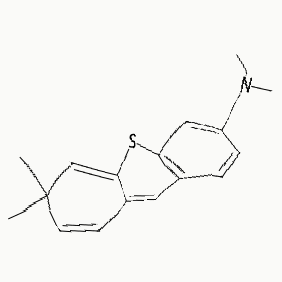 CN(C)c1ccc2c(c1)SC1=CC(C)(C)C=CC1=C2